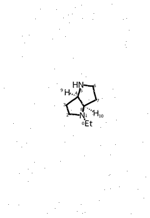 CCN1CC[C@H]2NCC[C@H]21